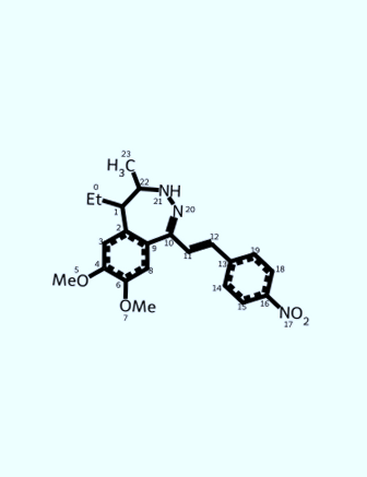 CCC1c2cc(OC)c(OC)cc2C(C=Cc2ccc([N+](=O)[O-])cc2)=NNC1C